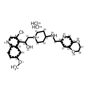 COc1ccc2ncc(Cl)c(C(O)CN3CCC(NCc4cc5c(cn4)OCCO5)CC3)c2c1.Cl.Cl